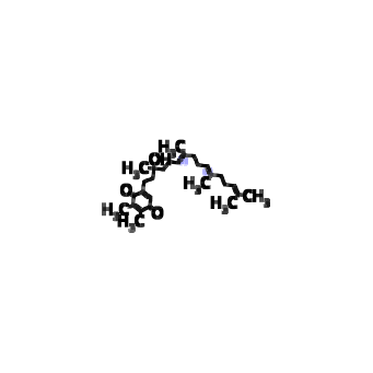 CC(C)=CCC/C(C)=C/CC/C(C)=C/CCC(C)(O)CCC1=CC(=O)C(C)=C(C)C1=O